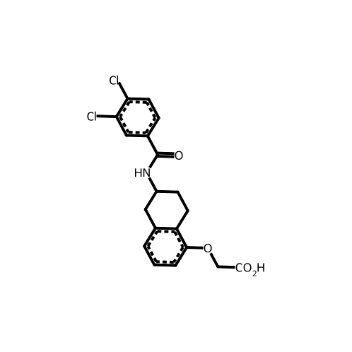 O=C(O)COc1cccc2c1CCC(NC(=O)c1ccc(Cl)c(Cl)c1)C2